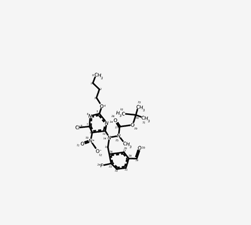 CCCCOc1nc(Cl)c([N+](=O)[O-])c(N(Cc2cc(C=O)ccc2F)N(C)C(=O)OC(C)(C)C)n1